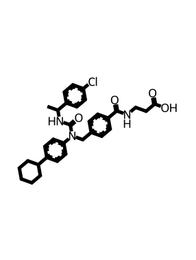 CC(NC(=O)N(Cc1ccc(C(=O)NCCC(=O)O)cc1)c1ccc(C2CCCCC2)cc1)c1ccc(Cl)cc1